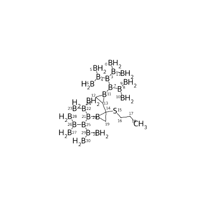 BB(B)B(B(B)B)B(B(B)B)B1CC1C1(SCCC)CB1B(B(B)B)B(B(B)B)B(B)B